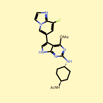 COc1nc(N[C@H]2CC[C@H](NC(C)=O)CC2)nc2[nH]cc(-c3cc(F)c4nccn4c3)c12